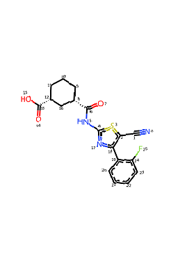 N#Cc1sc(NC(=O)[C@H]2CCC[C@@H](C(=O)O)C2)nc1-c1ccccc1F